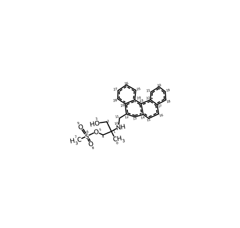 CC(CO)(COS(C)(=O)=O)NCc1cc2ccc3ccccc3c2c2ccccc12